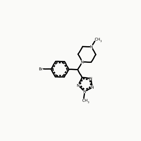 CN1CCN(C(c2ccc(Br)cc2)c2nnn(C)n2)CC1